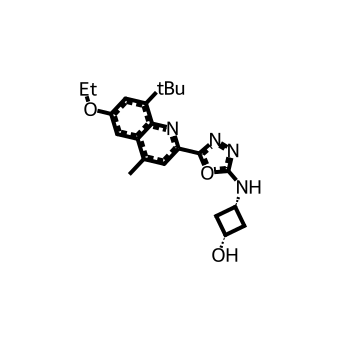 CCOc1cc(C(C)(C)C)c2nc(-c3nnc(N[C@H]4C[C@@H](O)C4)o3)cc(C)c2c1